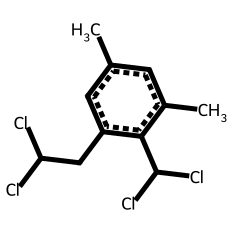 Cc1cc(C)c(C(Cl)Cl)c(CC(Cl)Cl)c1